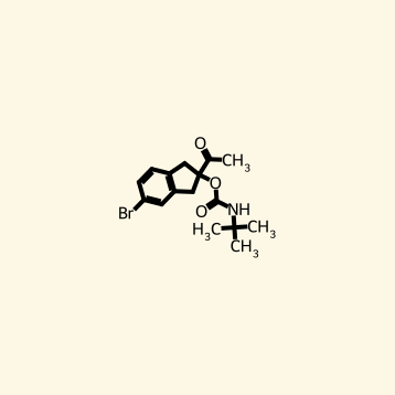 CC(=O)C1(OC(=O)NC(C)(C)C)Cc2ccc(Br)cc2C1